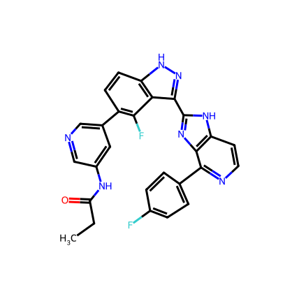 CCC(=O)Nc1cncc(-c2ccc3[nH]nc(-c4nc5c(-c6ccc(F)cc6)nccc5[nH]4)c3c2F)c1